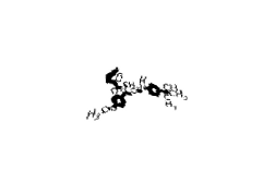 COc1ccc(C(COCNc2ccc(C(C)(C)C)cc2)N(C)C(=O)c2ccco2)cc1